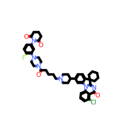 O=C(CCCCN1CCC(c2ccc3c(c2)-n2c(nc(=O)c4c(Cl)cccc42)C32CCCCC2)CC1)N1CCN(c2cc(N3C(=O)CCCC3=O)ccc2F)CC1